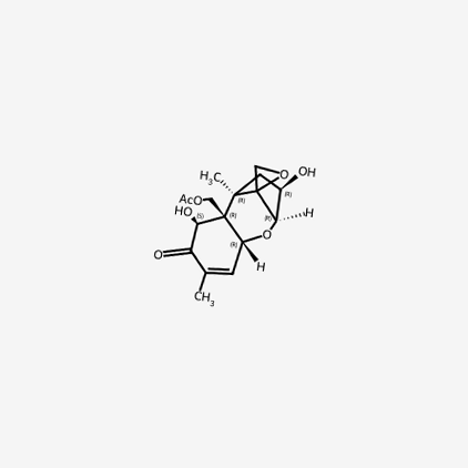 CC(=O)OC[C@]12[C@H](O)C(=O)C(C)=C[C@H]1O[C@@H]1[C@H](O)C[C@@]2(C)C12CO2